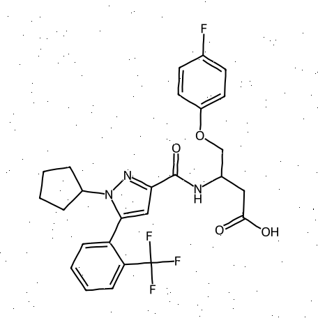 O=C(O)CC(COc1ccc(F)cc1)NC(=O)c1cc(-c2ccccc2C(F)(F)F)n(C2CCCC2)n1